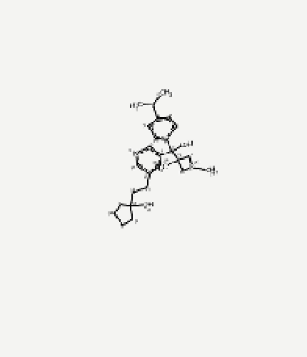 CC(C)c1ccc(C(O)(c2cncc(CCC3(O)CCCC3)c2)C2(C)CN(C)C2)cc1